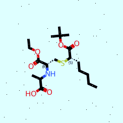 CCCCC[C@H](SC[C@H](NC(C)C(=O)O)C(=O)OCC)C(=O)OC(C)(C)C